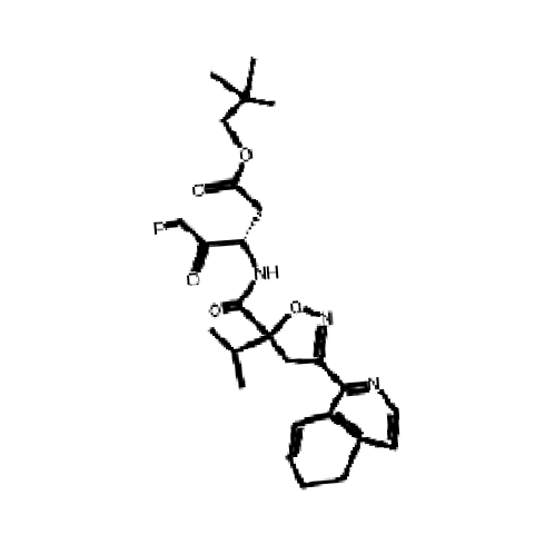 CC(C)C1(C(=O)N[C@@H](CC(=O)OCC(C)(C)C)C(=O)CF)CC(c2nccc3c2C=CCC3)=NO1